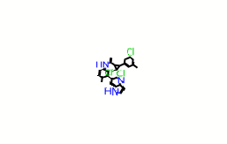 C=C(Nc1ccc(C)c(-c2cnc3cc[nH]c3c2)c1)C1C(c2cc(C)cc(Cl)c2)C1(Cl)Cl